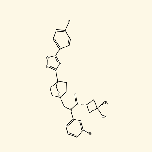 O=C([C@H]1C[C@](O)(C(F)(F)F)C1)N(CC12CCC(c3noc(-c4ccc(F)cc4)n3)(CC1)CC2)c1cccc(Br)c1